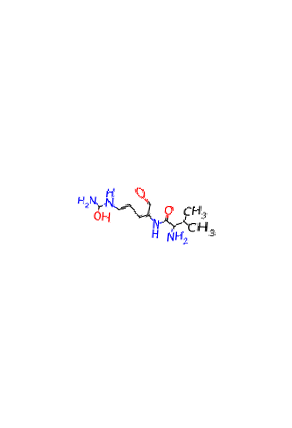 CC(C)C(N)C(=O)NC(C=O)CCCNC(N)O